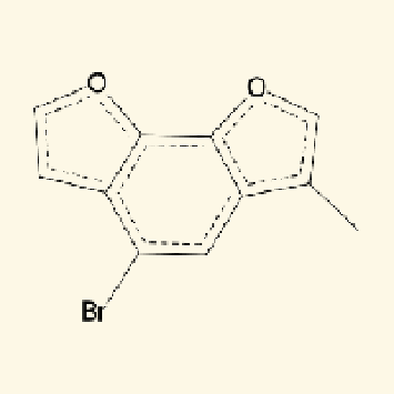 Cc1coc2c1cc(Br)c1ccoc12